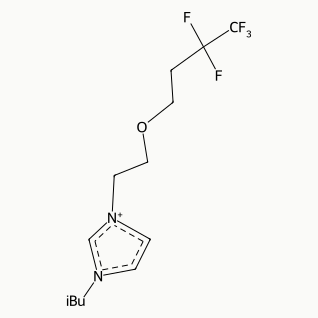 CCC(C)n1cc[n+](CCOCCC(F)(F)C(F)(F)F)c1